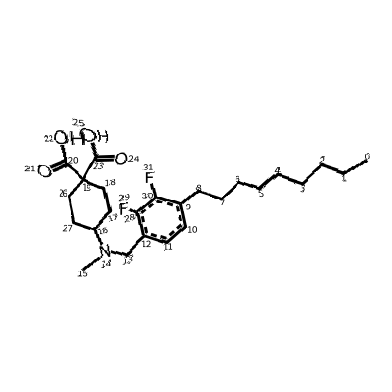 CCCCCCCCCc1ccc(CN(C)C2CCC(C(=O)O)(C(=O)O)CC2)c(F)c1F